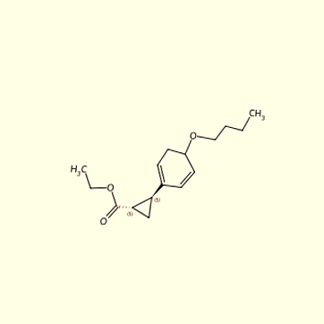 CCCCOC1C=CC([C@H]2C[C@@H]2C(=O)OCC)=CC1